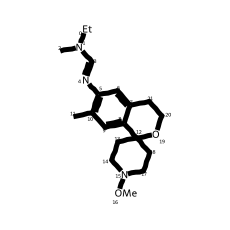 CCN(C)/C=N/c1cc2c(cc1C)C1(CCN(OC)CC1)OCC2